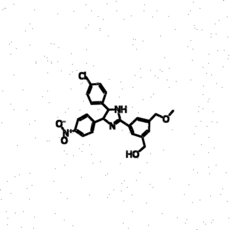 COCc1cc(CO)cc(C2=NC(c3ccc([N+](=O)[O-])cc3)C(c3ccc(Cl)cc3)N2)c1